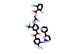 Cc1ccc(C(=O)C(=O)c2ccc(NC(=O)COC(=O)c3c(Cl)cccc3Cl)c(C(F)(F)F)c2)cc1Nc1nccc(-c2cccnc2)n1